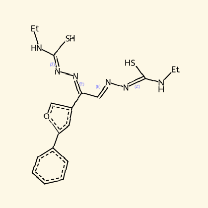 CCN/C(S)=N/N=C/C(=N/N=C(\S)NCC)c1coc(-c2ccccc2)c1